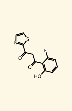 O=C(CC(=O)c1c(O)cccc1F)c1nccs1